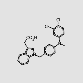 CN(c1ccc(Cn2cc(CC(=O)O)c3ccccc32)cc1)c1ccc(Cl)c(Cl)c1